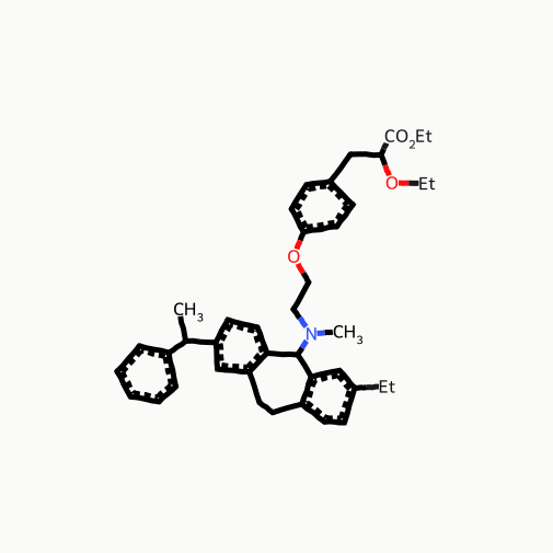 CCOC(=O)C(Cc1ccc(OCCN(C)C2c3ccc(C(C)c4ccccc4)cc3CCc3ccc(CC)cc32)cc1)OCC